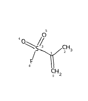 C=C(C)S(=O)(=O)F